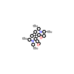 CC(C)(C)c1ccc(N(c2ccc(C(C)(C)C)cc2)c2cc3c(c4cc5ccoc5cc24)-c2c(cc(N(c4ccc(C(C)(C)C)cc4)c4ccc(C(C)(C)C)cc4)c4c2oc2ccccc24)C32c3ccccc3-c3ccccc32)cc1